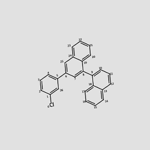 Clc1cccc(-c2cc(-c3cccc4ccccc34)c3ccccc3c2)c1